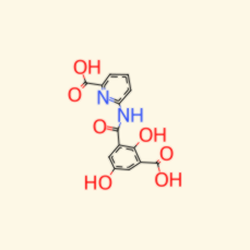 O=C(O)c1cccc(NC(=O)c2cc(O)cc(C(=O)O)c2O)n1